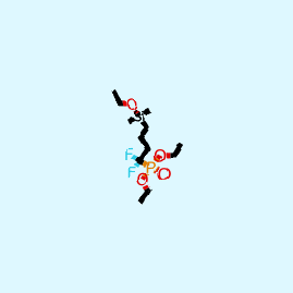 CCO[Si](C)(C)CCCC(F)(F)P(=O)(OCC)OCC